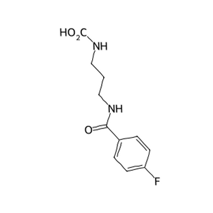 O=C(O)NCCCNC(=O)c1ccc(F)cc1